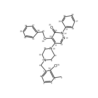 Cc1cccc(CN2CCN(c3cnn(-c4ccccc4)c(=O)c3OCc3ccccc3)CC2)c1Cl